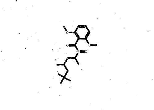 COc1cccc(OC)c1C(=O)[P](=O)C(C)CC(C)CC(C)(C)C